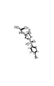 O=C(O)N[C@@H]1CN(S(=O)(=O)c2ccc(Br)cc2)C[C@@H]1F